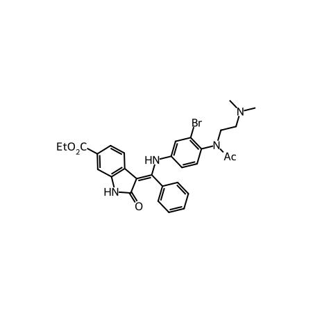 CCOC(=O)c1ccc2c(c1)NC(=O)/C2=C(/Nc1ccc(N(CCN(C)C)C(C)=O)c(Br)c1)c1ccccc1